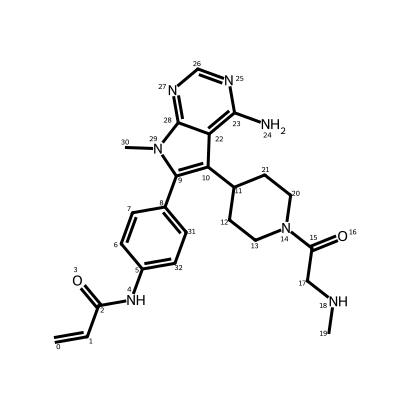 C=CC(=O)Nc1ccc(-c2c(C3CCN(C(=O)CNC)CC3)c3c(N)ncnc3n2C)cc1